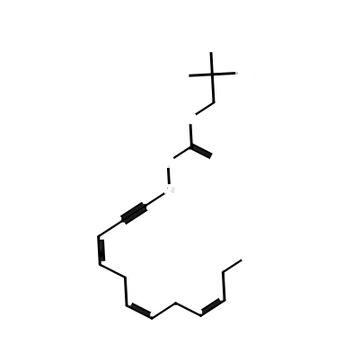 CC/C=C\C/C=C\C/C=C\C#CNOC(=O)OCC(C)(C)C